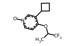 CC(Oc1cc[n+]([O-])cc1C1CCC1)C(F)(F)F